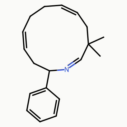 CC1(C)C=NC(c2ccccc2)CC=CCCC=CC1